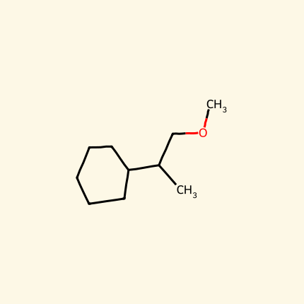 COCC(C)C1CCCCC1